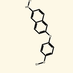 CCNc1ccc2cc(Oc3ccc(OCC)cc3)ccc2c1